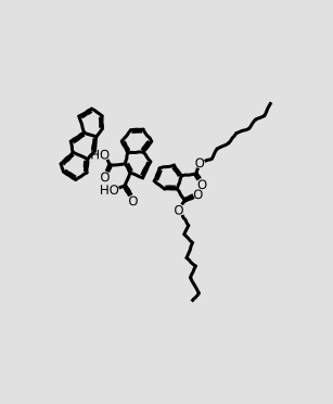 CCCCCCCCOC(=O)c1ccccc1C(=O)OCCCCCCCC.O=C(O)c1ccc2ccccc2c1C(=O)O.c1ccc2cc3ccccc3cc2c1